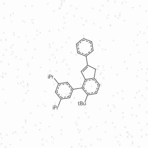 CC(C)c1cc(-c2c(C(C)(C)C)ccc3c2C=C(c2ccccc2)[CH]3)cc(C(C)C)c1